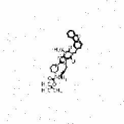 CC#CCn1c(N2CCC[C@@H](NC(=O)OC(C)(C)C)C2)nc2c1c(=O)n(Cc1ccc3oc4ccccc4c3c1)c(=O)n2C